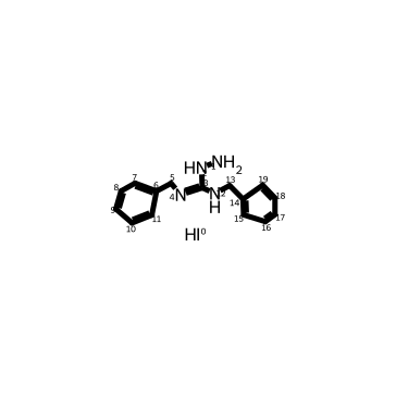 I.NN/C(=N\Cc1ccccc1)NCc1ccccc1